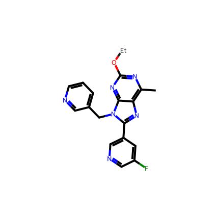 CCOc1nc(C)c2nc(-c3cncc(F)c3)n(Cc3cccnc3)c2n1